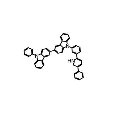 C1=C(c2ccccc2)CNC(c2cccc(-n3c4ccccc4c4cc(-c5ccc6c(c5)c5ccccc5n6-c5ccccc5)ccc43)c2)=C1